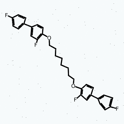 Fc1ccc(-c2ccc(OCCCCCCCCOc3ccc(-c4ccc(F)cc4)cc3F)c(F)c2)cc1